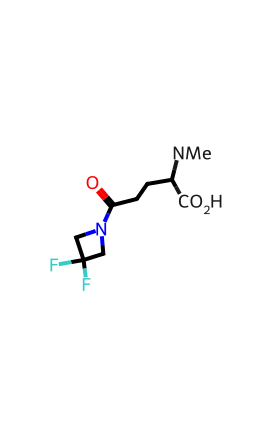 CNC(CCC(=O)N1CC(F)(F)C1)C(=O)O